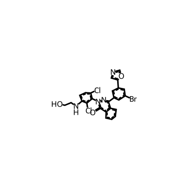 O=c1c2ccccc2c(-c2cc(Br)cc(-c3cnco3)c2)nn1-c1c(Cl)ccc(NCCO)c1Cl